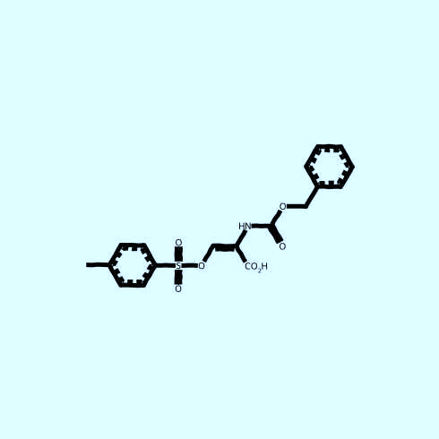 Cc1ccc(S(=O)(=O)O/C=C(/NC(=O)OCc2ccccc2)C(=O)O)cc1